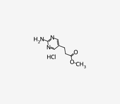 COC(=O)CCc1cnc(N)nc1.Cl